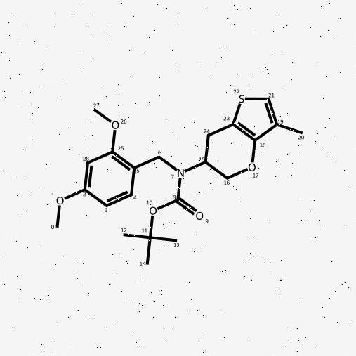 COc1ccc(CN(C(=O)OC(C)(C)C)C2COc3c(C)csc3C2)c(OC)c1